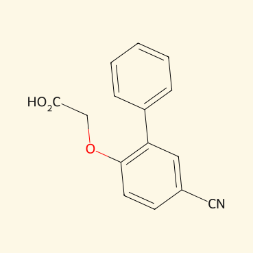 N#Cc1ccc(OCC(=O)O)c(-c2ccccc2)c1